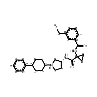 O=C(NC1(C(=O)N[C@@H]2CCN(C3CCC(c4ccccc4)CC3)C2)CC1)c1cccc(CF)c1